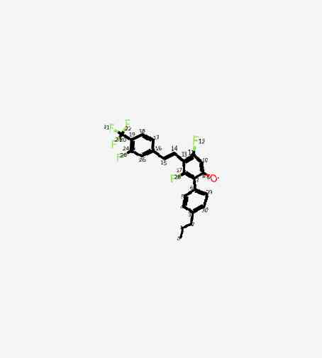 CCCc1ccc(-c2c([O])cc(F)c(CCc3ccc(C(F)(F)F)c(F)c3)c2F)cc1